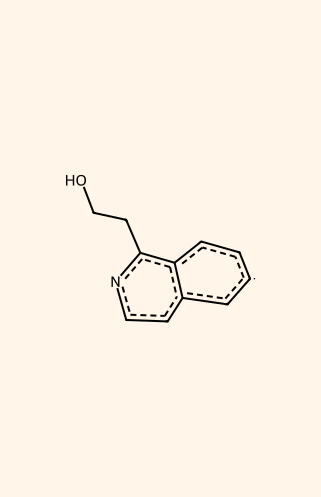 OCCc1nccc2c[c]ccc12